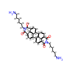 NCCCCCCN1C(=O)c2ccc3c4ccc5c6c(ccc(c7ccc(c2c37)C1=O)c64)C(=O)N(CCCCCCN)C5=O